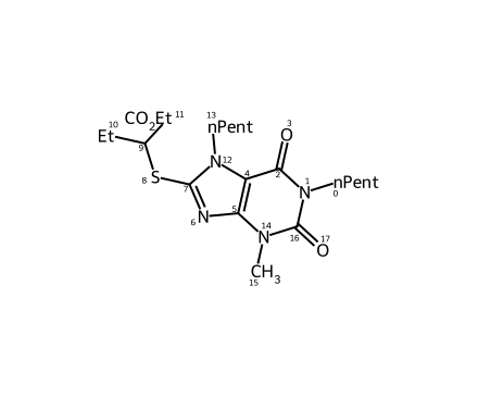 CCCCCn1c(=O)c2c(nc(SC(CC)C(=O)OCC)n2CCCCC)n(C)c1=O